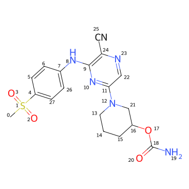 CS(=O)(=O)c1ccc(Nc2nc(N3CCCC(OC(N)=O)C3)cnc2C#N)cc1